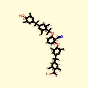 Cc1cc(C(C)(C)c2cc(C)c(C(C)(C)Oc3cccc(Oc4c(C)cc(C(C)(C)c5cc(C)c(C(C)O)c(C)c5)cc4C)c3C#N)c(C)c2)cc(C)c1O